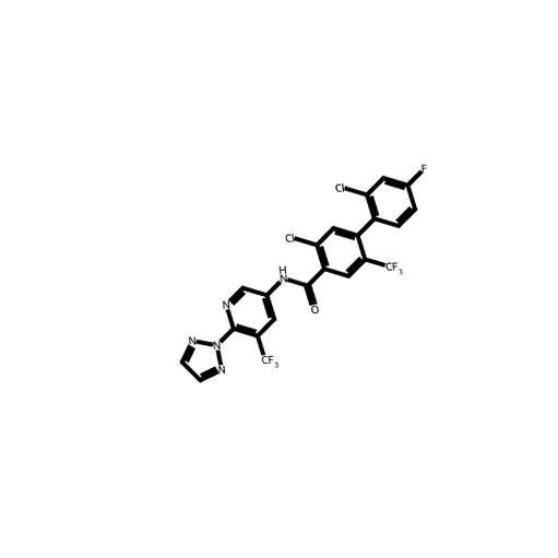 O=C(Nc1cnc(-n2nccn2)c(C(F)(F)F)c1)c1cc(C(F)(F)F)c(-c2ccc(F)cc2Cl)cc1Cl